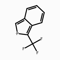 FC(F)(F)C1=c2ccccc2=C[P]1